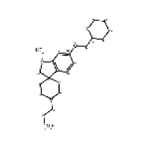 Cl.O=C(O)CCN1CCC2(CC1)COc1cc(OCC3CCCCO3)ccc12